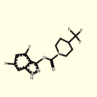 O=C(Oc1n[nH]c2cc(F)cc(F)c12)N1CCC(C(F)(F)F)CC1